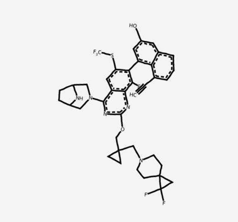 C#Cc1cccc2cc(O)cc(-c3c(SC(F)(F)F)cc4c(N5CC6CCC(C5)N6)nc(OCC5(CN6CCC7(CC6)CC7(F)F)CC5)nc4c3F)c12